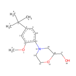 COc1cc(C(C)(C)C)ccc1N1CCOC(CO)C1